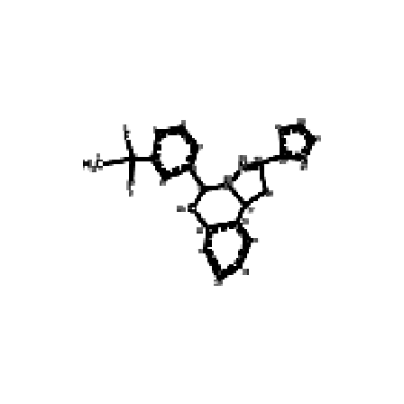 CC(F)(F)c1cccc(C2Oc3ccccc3C3CC(c4cccs4)=NN32)c1